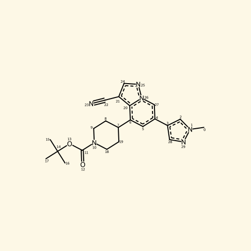 Cn1cc(-c2cc(C3CCN(C(=O)OC(C)(C)C)CC3)c3c(C#N)cnn3c2)cn1